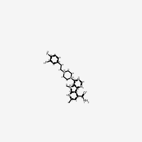 Cc1cc(C(N)=O)c2c3ncnc(N4CCN(CCc5ccc(F)c(F)c5)CC4)c3n(C)c2n1